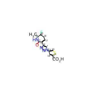 C[C@@H]1NC(=O)C(c2cn(-c3csc(C(=O)O)c3)nn2)=CCC1F